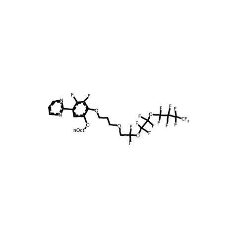 CCCCCCCCOc1cc(-c2ncccn2)c(F)c(F)c1OCCCOCC(F)(F)OC(F)(F)C(F)(F)OC(F)(F)C(F)(F)C(F)(F)C(F)(F)F